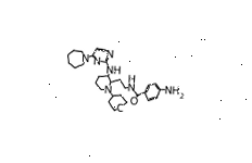 Nc1ccc(C(=O)NCCC2C(Nc3nccc(N4CCCCCC4)n3)CCCN2C2CCCCC2)cc1